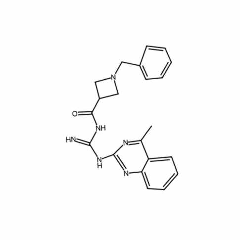 Cc1nc(NC(=N)NC(=O)C2CN(Cc3ccccc3)C2)nc2ccccc12